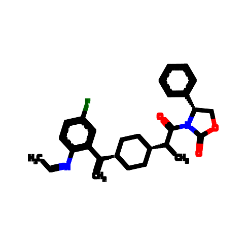 C=C(c1cc(F)ccc1/N=C\C)[C@H]1CC[C@@H](C(C)C(=O)N2C(=O)OC[C@H]2c2ccccc2)CC1